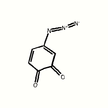 [N-]=[N+]=NC1=CC(=O)C(=O)C=C1